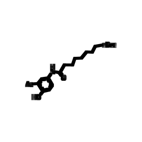 CCCCCCCCCCCCCCCCCC(=O)Nc1ccc(O)c(C(C)=O)c1